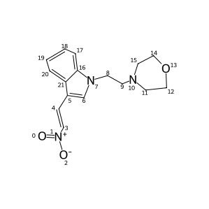 O=[N+]([O-])C=Cc1cn(CCN2CCOCC2)c2ccccc12